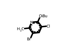 Cc1nc(OCC(C)C)c(Cl)cc1Br